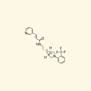 O=C(/C=C/c1cccnc1)NCC[C@@H]1[C@H]2CN(c3ccccc3C(F)(F)F)C[C@@H]12